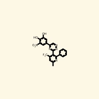 Cc1cc(C(F)(F)F)c(-c2nncc(-c3cc(O)c(O)c([N+](=O)[O-])c3)n2)c(-c2ccccc2)n1